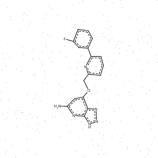 Nc1cc(OCc2cccc(-c3cccc(F)c3)n2)c2nn[nH]c2n1